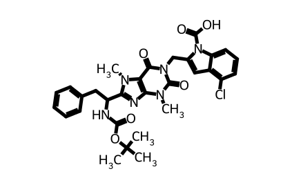 Cn1c(C(Cc2ccccc2)NC(=O)OC(C)(C)C)nc2c1c(=O)n(Cc1cc3c(Cl)cccc3n1C(=O)O)c(=O)n2C